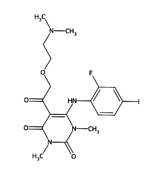 CN(C)CCOCC(=O)c1c(Nc2ccc(I)cc2F)n(C)c(=O)n(C)c1=O